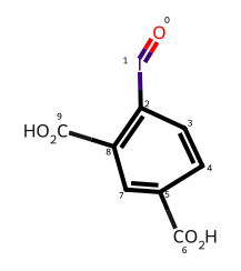 O=Ic1ccc(C(=O)O)cc1C(=O)O